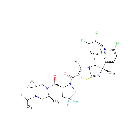 CC(C)C1=C(C(=O)N2CC(F)(F)C[C@H]2C(=O)N2CC3(CC3)N(C(=O)C(F)(F)F)C[C@@H]2C)SC2=N[C@@](C)(c3ccc(Cl)nc3)[C@@H](c3ccc(Cl)c(F)c3)N21